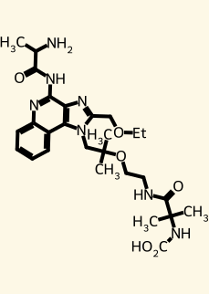 CCOCc1nc2c(NC(=O)C(C)N)nc3ccccc3c2n1CC(C)(C)OCCNC(=O)C(C)(C)NC(=O)O